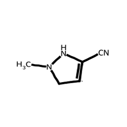 CN1C[C]=C(C#N)N1